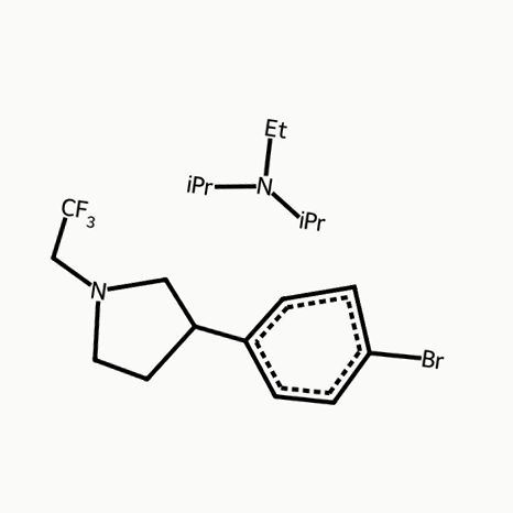 CCN(C(C)C)C(C)C.FC(F)(F)CN1CCC(c2ccc(Br)cc2)C1